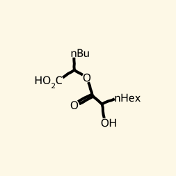 CCCCCCC(O)C(=O)OC(CCCC)C(=O)O